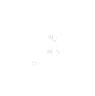 CSCCC[C@@H]1NC(=O)[C@@H](C(C)c2c[nH]c3ccccc23)NC1=O